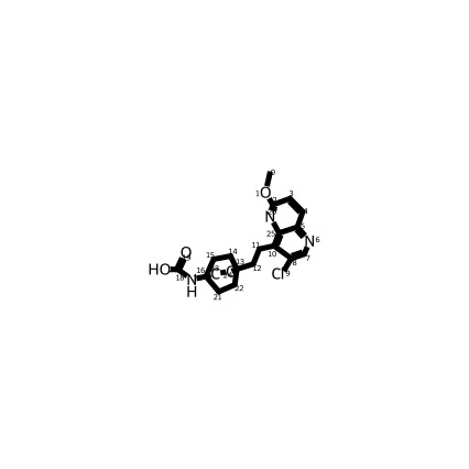 COc1ccc2ncc(Cl)c(CCC34CCC(NC(=O)O)(CC3)CO4)c2n1